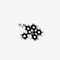 Nc1ccc2c(c1)C(c1ccncc1)NN2C(c1ccccc1)(c1ccccc1)c1ccccc1